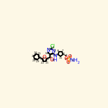 NS(=O)(=O)OC[C@@H]1CC[C@H](Nc2nc(Cl)ncc2C(=O)c2ccc(-c3ccccc3)o2)C1